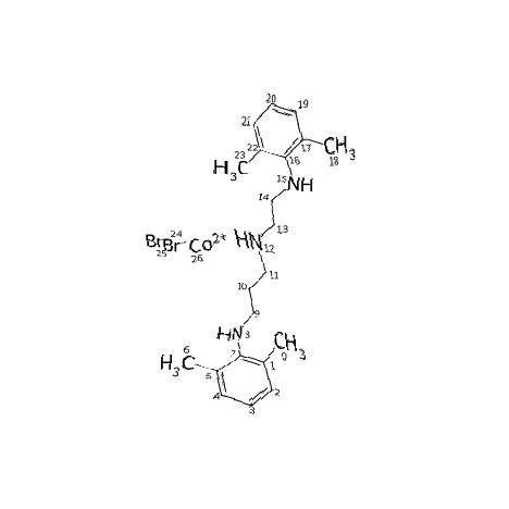 Cc1cccc(C)c1NCCCNCCNc1c(C)cccc1C.[Br-].[Br-].[Co+2]